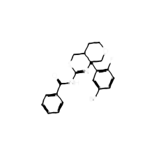 O=C(NC1=NC2(c3cc(Br)ccc3F)COCCC2CS1)c1ccccc1